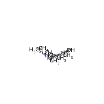 CC(C)=CCC/C(C)=C/CCC(C)C(O)CC/C(C)=C/CC/C(C)=C/CO